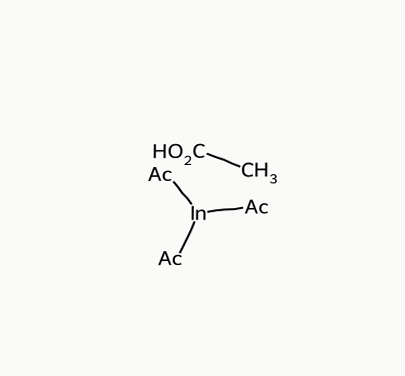 CC(=O)O.C[C](=O)[In]([C](C)=O)[C](C)=O